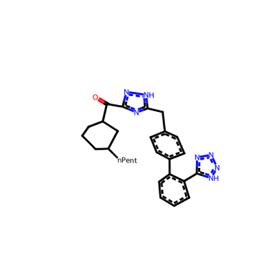 CCCCCC1CCCC(C(=O)c2n[nH]c(Cc3ccc(-c4ccccc4-c4nnn[nH]4)cc3)n2)C1